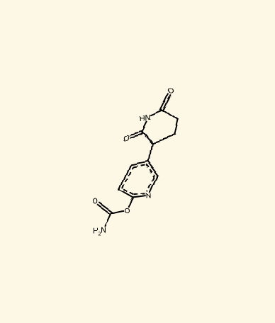 NC(=O)Oc1ccc(C2CCC(=O)NC2=O)cn1